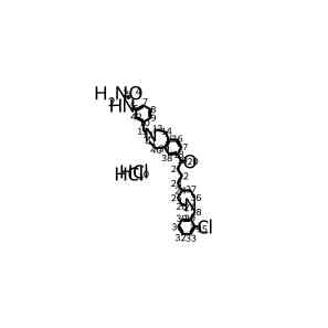 Cl.Cl.NC(=O)Nc1cccc(CN2CCc3ccc(C(=O)CCCC4CCN(Cc5ccccc5Cl)CC4)cc3CC2)c1